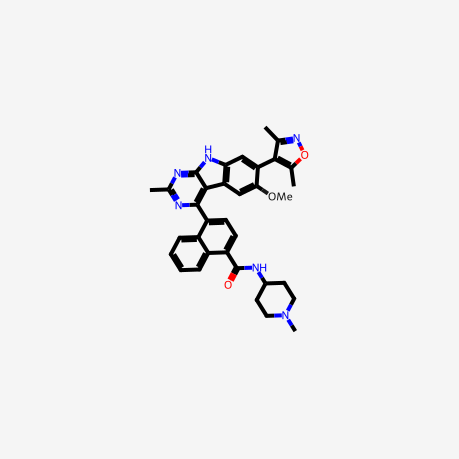 COc1cc2c(cc1-c1c(C)noc1C)[nH]c1nc(C)nc(-c3ccc(C(=O)NC4CCN(C)CC4)c4ccccc34)c12